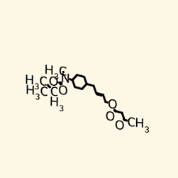 CC(=O)CC(=O)OCC=CCC1CCC(N(C)C(=O)OC(C)(C)C)CC1